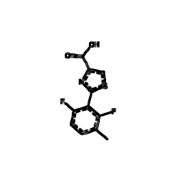 Cc1ccc(F)c(-c2nc(C(=O)O)cs2)c1F